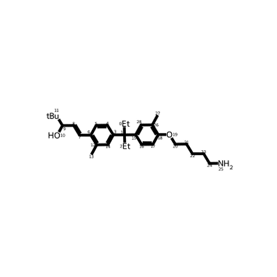 CCC(CC)(c1ccc(C=CC(O)C(C)(C)C)c(C)c1)c1ccc(OCCCCCN)c(C)c1